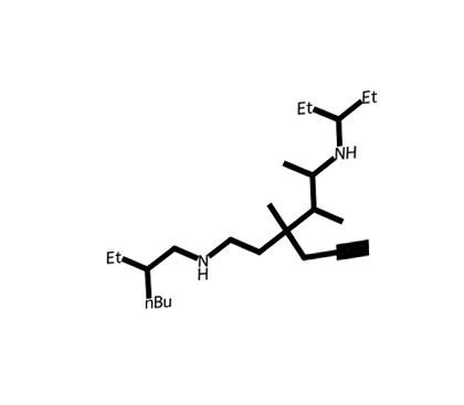 C#CCC(C)(CCNCC(CC)CCCC)C(C)C(C)NC(CC)CC